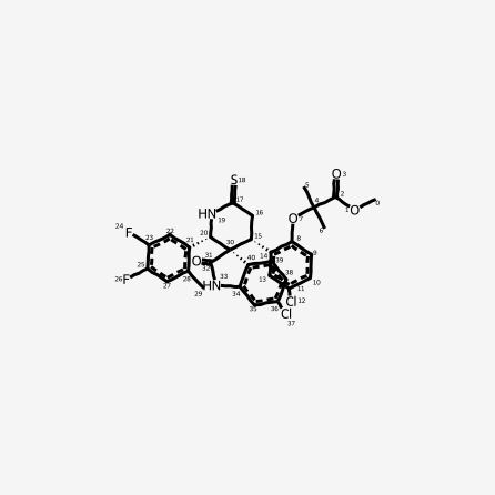 COC(=O)C(C)(C)Oc1ccc(Cl)cc1[C@H]1CC(=S)N[C@@H](c2cc(F)c(F)cc2C)[C@]12C(=O)Nc1cc(Cl)ccc12